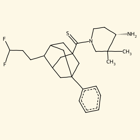 CC1(C)CN(C(=S)C23CC4CC(c5ccccc5)(CC(C2)C4CCC(F)F)C3)CC[C@@H]1N